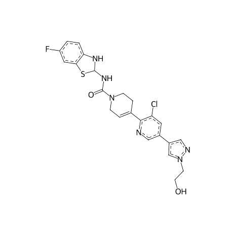 O=C(NC1Nc2ccc(F)cc2S1)N1CC=C(c2ncc(-c3cnn(CCO)c3)cc2Cl)CC1